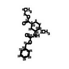 CCOC(=O)[C@H]1CC[C@H](C)[C@H](NC(=O)OCc2ccccc2)C1